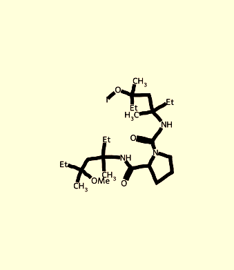 CCC(C)(CC(C)(CC)OC)NC(=O)C1CCCN1C(=O)NC(C)(CC)CC(C)(CC)OI